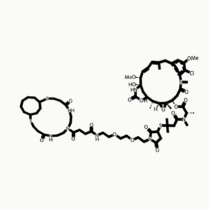 COc1cc2cc(c1Cl)N(C)C(=O)C[C@H](OC(=O)[C@H](C)N(C)C(=O)CC(C)(C)SC1CC(=O)N(CCOCCOCCNC(=O)CCC(=O)N3CCNC(=O)CCSC4CCCCCC(CC4)SCCC(=O)NCC3)C1=O)[C@]1(C)O[C@H]1[C@H](C)[C@@H]1C[C@@](O)(NC(=O)O1)[C@H](OC)/C=C/C=C(\C)C2